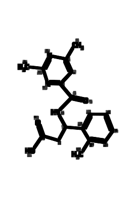 Cc1cc(C(=O)NC(CC(=O)O)c2ccccc2C)nc(C)n1